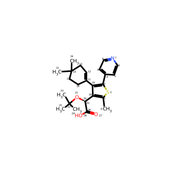 Cc1sc(-c2ccncc2)c(C2=CCC(C)(C)CC2)c1[C@H](OC(C)(C)C)C(=O)O